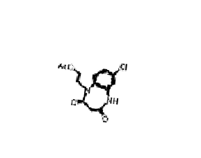 CC(=O)OCCN1C(=O)CC(=O)Nc2cc(Cl)ccc21